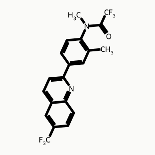 Cc1cc(-c2ccc3cc(C(F)(F)F)ccc3n2)ccc1N(C)C(=O)C(F)(F)F